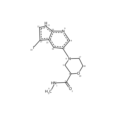 CNC(=O)C1CN(c2cnc3[nH]cc(I)c3c2)CCO1